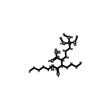 CCCCCNC(=O)C(CCCC)C(CCC[Si](OC)(OC)OC)C(=O)O